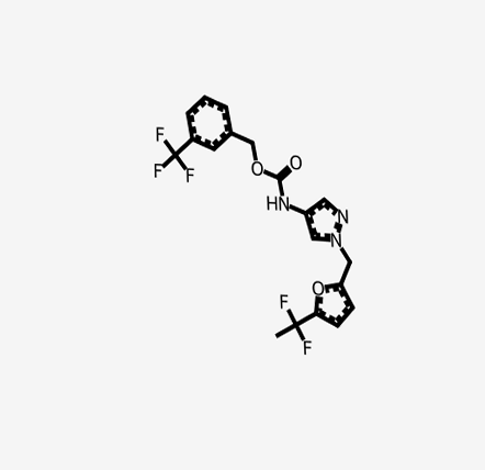 CC(F)(F)c1ccc(Cn2cc(NC(=O)OCc3cccc(C(F)(F)F)c3)cn2)o1